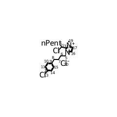 CCCCCC(Cl)c1n(CCCCc2ccc(Cl)cc2)cc[n+]1C.[Cl-]